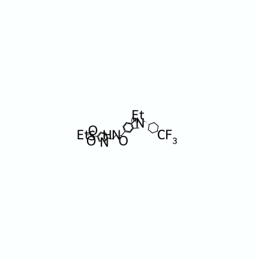 CC[C@@H]1c2ccc(C(=O)NCc3ccc(S(=O)(=O)CC)cn3)cc2CN1C[C@H]1CC[C@H](C(F)(F)F)CC1